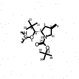 C=C1C[C@@H](C(O[SiH](C)C)C(C)(C)C)N(C(=O)OC(C)(C)C)C1